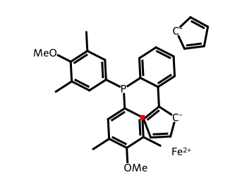 COc1c(C)cc(P(c2cc(C)c(OC)c(C)c2)c2ccccc2-c2ccc[cH-]2)cc1C.[Fe+2].c1cc[cH-]c1